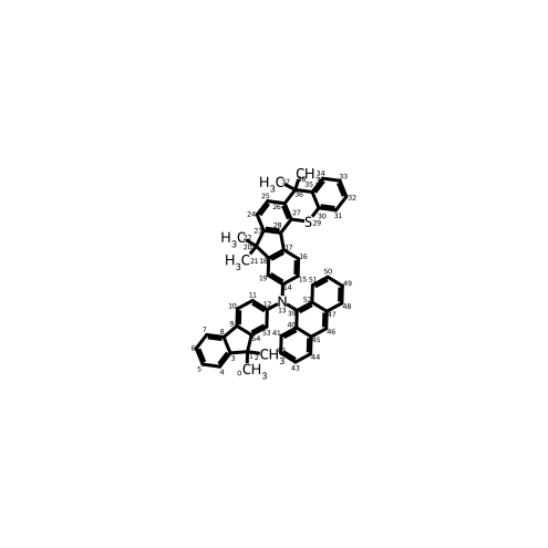 CC1(C)c2ccccc2-c2ccc(N(c3ccc4c(c3)C(C)(C)c3ccc5c(c3-4)Sc3ccccc3C5(C)C)c3c4ccccc4cc4ccccc34)cc21